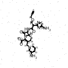 C#CCON=C(C(=O)NC1C(=O)N2C(C(=O)[O-])=C(C[n+]3cccc(N)c3)CS[C@@H]12)c1nsc(N)n1